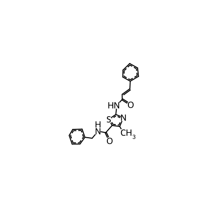 Cc1nc(NC(=O)/C=C/c2ccccc2)sc1C(=O)NCc1ccccc1